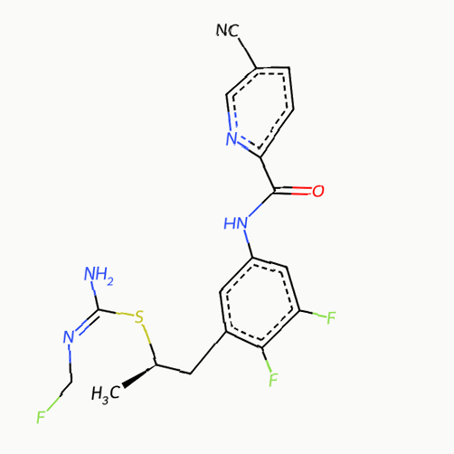 C[C@H](Cc1cc(NC(=O)c2ccc(C#N)cn2)cc(F)c1F)S/C(N)=N\CF